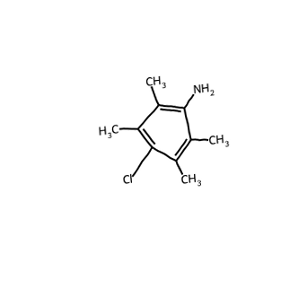 Cc1c(C)c(Cl)c(C)c(C)c1N